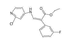 CCOC(=O)/C(=C\Nc1ccnc(Cl)c1)c1cccc(F)c1